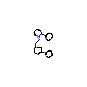 C1=CC(c2ccccc2)N(CCC2CCC=C(c3ccccc3)C2)C=C1